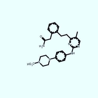 Cc1cnc(Nc2ccc(N3CCN(C(=O)O)CC3)cc2)nc1CCc1ccccc1CC(N)=O